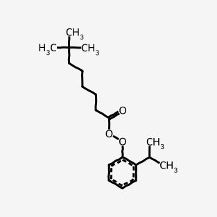 CC(C)c1ccccc1OOC(=O)CCCCCC(C)(C)C